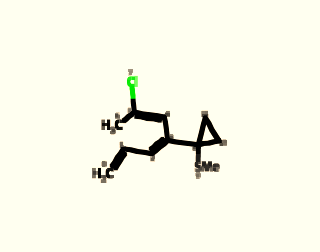 C=C/C=C(\C=C(/C)Cl)C1(SC)CC1